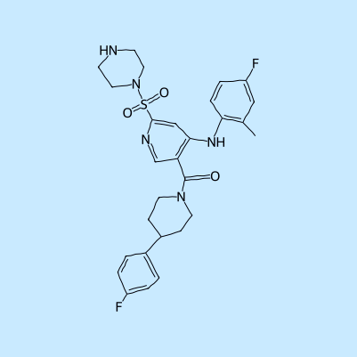 Cc1cc(F)ccc1Nc1cc(S(=O)(=O)N2CCNCC2)ncc1C(=O)N1CCC(c2ccc(F)cc2)CC1